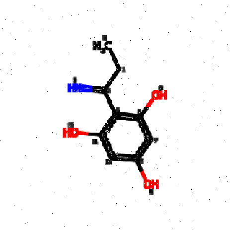 CCC(=N)c1c(O)cc(O)cc1O